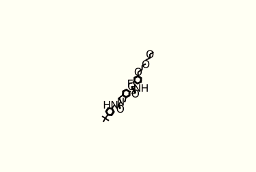 COCCOCCOc1ccc(NS(=O)(=O)c2ccc3c(c2)CN(C(=O)Nc2ccc(C(C)(C)C)cc2)C3)c(F)c1